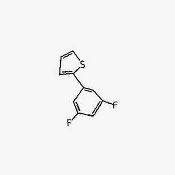 Fc1cc(F)cc(-c2cccs2)c1